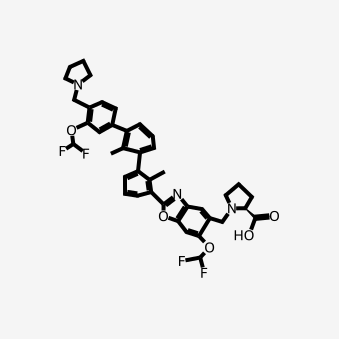 Cc1c(-c2ccc(CN3CCCC3)c(OC(F)F)c2)cccc1-c1cccc(-c2nc3cc(CN4CCC[C@H]4C(=O)O)c(OC(F)F)cc3o2)c1C